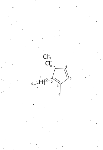 [CH3][Hf+2][C]1=C(C)C=CC1.[Cl-].[Cl-]